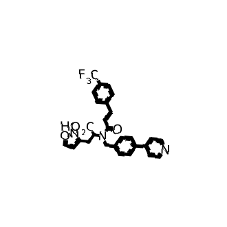 O=C(O)C(Cc1ccon1)N(Cc1ccc(-c2ccncc2)cc1)C(=O)/C=C/c1ccc(C(F)(F)F)cc1